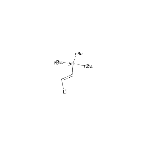 [Li]/[CH]=[CH]/[Sn]([CH2]CCC)([CH2]CCC)[CH2]CCC